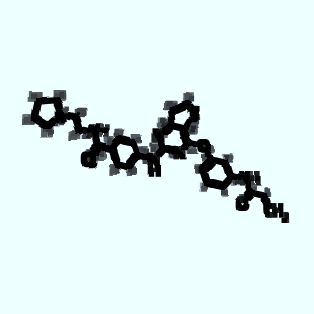 C=CC(=O)Nc1cccc(Oc2nc(Nc3ccc(C(=O)NCCN4CCCC4)cc3)nc3ccsc23)c1